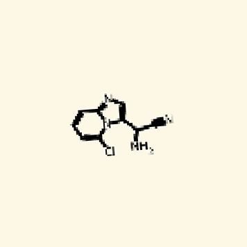 N#CC(N)c1cnc2cccc(Cl)n12